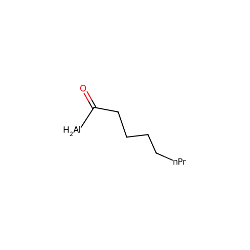 CCCCCCC[C](=O)[AlH2]